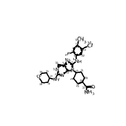 Cc1cc(F)c(Nc2nc3cnc(NC4CCOCC4)nc3n2C2CCC(C(N)=O)CC2)cc1Cl